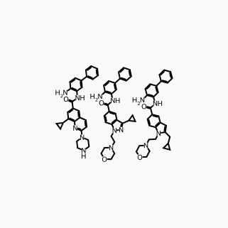 Nc1ccc(-c2ccccc2)cc1NC(=O)c1cc(C2CC2)c2nc(N3CCNCC3)ccc2c1.Nc1ccc(-c2ccccc2)cc1NC(=O)c1ccc2c(c1)c(C1CC1)nn2CCN1CCOCC1.Nc1ccc(-c2ccccc2)cc1NC(=O)c1ccc2c(c1)cc(CC1CC1)n2CCN1CCOCC1